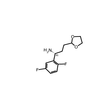 N[C@H](CCC1OCCO1)c1cc(F)ccc1F